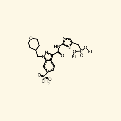 CCOP(=O)(Cc1csc(NC(=O)c2nn(CC3CCOCC3)c3cc(S(C)(=O)=O)ccc23)n1)OCC